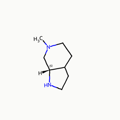 CN1CCC2CCN[C@@H]2C1